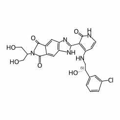 O=C1c2cc3nc(-c4c(NC[C@@H](O)c5cccc(Cl)c5)cc[nH]c4=O)[nH]c3cc2C(=O)N1C(CO)CO